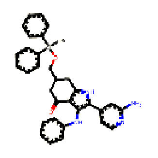 CC(C)(C)[Si](OCC1CC(=O)c2c([nH]c(-c3ccnc(N)c3)c2Nc2ccccc2)C1)(c1ccccc1)c1ccccc1